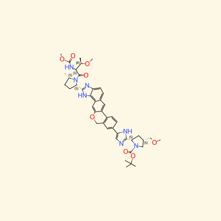 COC[C@H]1C[C@@H](c2ncc(-c3ccc4c(c3)COc3cc5c(ccc6nc([C@@H]7CC[C@H](C)N7C(=O)[C@@H](NC(=O)OC)[C@@H](C)OC)[nH]c65)cc3-4)[nH]2)N(C(=O)OC(C)(C)C)C1